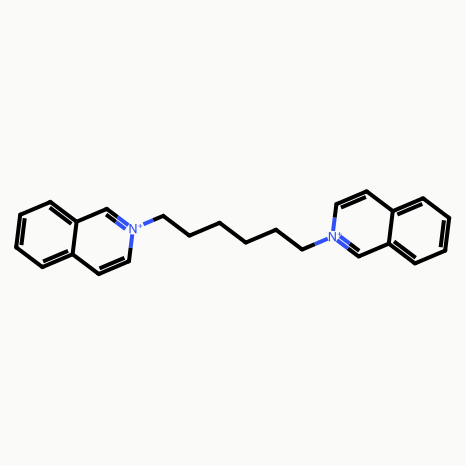 c1ccc2c[n+](CCCCCC[n+]3ccc4ccccc4c3)ccc2c1